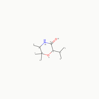 CC(C)C1OC(C)(C)C(C)NC1=O